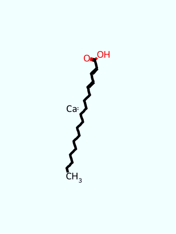 CCCCCCCCCCCCCC=CC=CC(=O)O.[Ca]